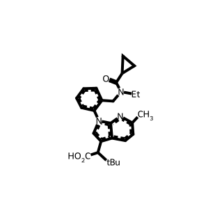 CCN(Cc1ccccc1-n1cc(C(C(=O)O)C(C)(C)C)c2ccc(C)nc21)C(=O)C1CC1